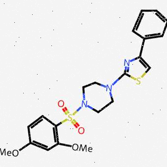 COc1ccc(S(=O)(=O)N2CCN(c3nc(-c4ccccc4)cs3)CC2)c(OC)c1